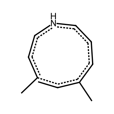 Cc1ccc[nH]ccc(C)c1